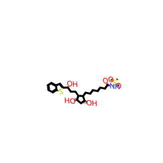 CS(=O)(=O)NC(=O)CCCCCCC1C(CCC(O)c2cc3ccccc3s2)[C@H](O)C[C@@H]1O